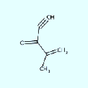 C#CC(=O)C(=C)C